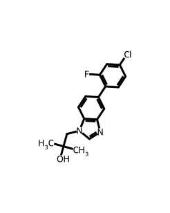 CC(C)(O)Cn1cnc2cc(-c3ccc(Cl)cc3F)ccc21